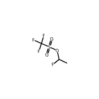 CC(F)OS(=O)(=O)C(F)(F)F